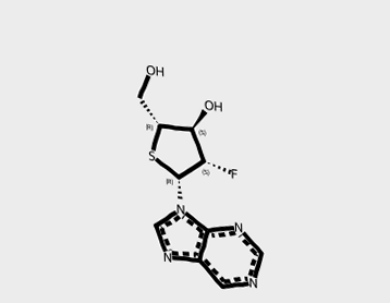 OC[C@H]1S[C@@H](n2cnc3cncnc32)[C@@H](F)[C@@H]1O